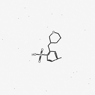 Cc1ccc(S(=O)(=O)O)c(CC2CCCOC2)c1